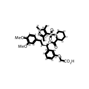 COc1ccc(CC[C@@H](OC(=O)C2CCCCN2S(=O)(=O)c2c(C)nn(C)c2C)c2cccc(OCC(=O)O)c2)cc1OC